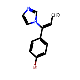 O=CC=C(c1ccc(Br)cc1)n1ccnc1